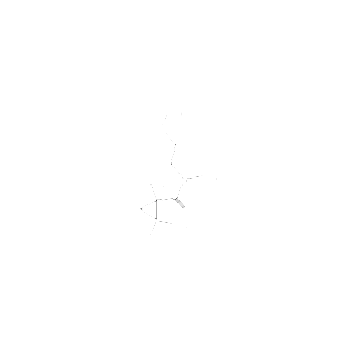 COCCN(C)C(=O)C1(C)CC1(C)C